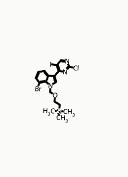 C[Si](C)(C)CCOCn1cc(-c2nc(Cl)ncc2I)c2cccc(Br)c21